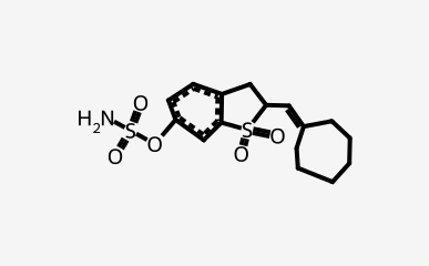 NS(=O)(=O)Oc1ccc2c(c1)S(=O)(=O)C(C=C1CCCCCC1)C2